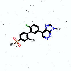 CC(C)n1cnc2c(-c3ccc(F)c(-c4ccc(S(=O)(=O)C(C)C)cc4C#N)c3)cnnc21